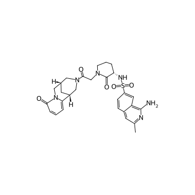 Cc1cc2ccc(S(=O)(=O)N[C@H]3CCCN(CC(=O)N4C[C@@H]5C[C@H](C4)c4cccc(=O)n4C5)C3=O)cc2c(N)n1